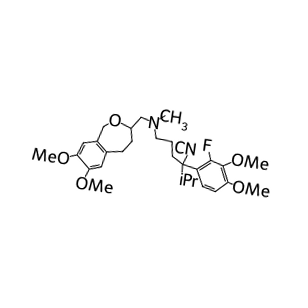 COc1cc2c(cc1OC)COC(CN(C)CCCC(C#N)(c1ccc(OC)c(OC)c1F)C(C)C)CC2